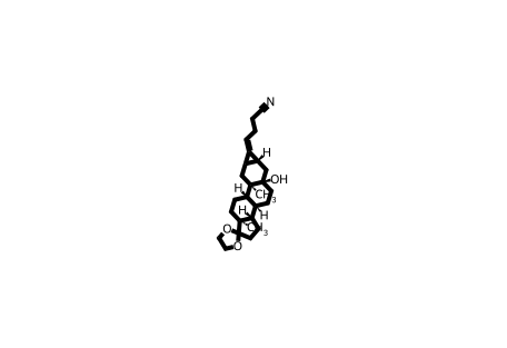 C[C@]12CC[C@H]3[C@@H](CC[C@@]4(O)C[C@H]5/C(=C\CCC#N)C5C[C@]34C)[C@@H]1CCC21OCCO1